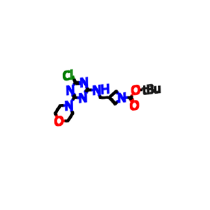 CC(C)(C)OC(=O)N1CC(CNc2nc(Cl)nc(N3CCOCC3)n2)C1